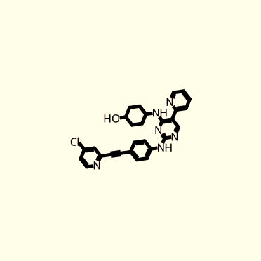 OC1CCC(Nc2nc(Nc3ccc(C#Cc4cc(Cl)ccn4)cc3)ncc2-c2ccccn2)CC1